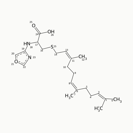 CC(C)=CCCC(C)=CCCC(C)=CCSCC(Nc1cocn1)C(=O)O